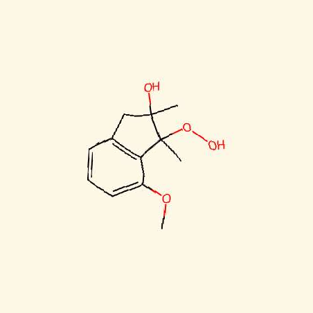 COc1cccc2c1C(C)(OO)C(C)(O)C2